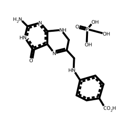 Nc1nc2c(c(=O)[nH]1)N=C(CNc1ccc(C(=O)O)cc1)CN2.O=P(O)(O)O